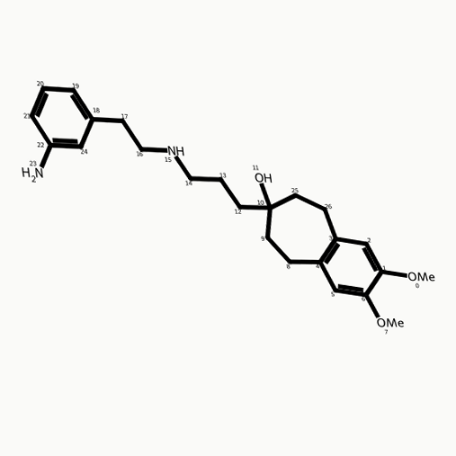 COc1cc2c(cc1OC)CCC(O)(CCCNCCc1cccc(N)c1)CC2